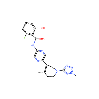 CC1=C(c2cnc(NC(=O)c3c(O)cccc3F)cn2)CN(c2nnn(C)n2)CC1